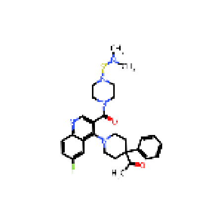 CC(=O)C1(c2ccccc2)CCN(c2c(C(=O)N3CCN(SN(C)C)CC3)cnc3ccc(F)cc23)CC1